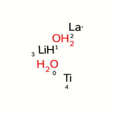 O.O.[La].[LiH].[Ti]